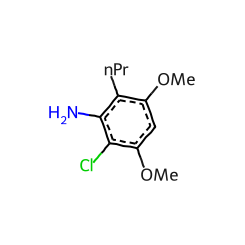 CCCc1c(OC)cc(OC)c(Cl)c1N